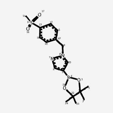 CC1(C)OB(c2cnn(Cc3ccc(S(C)(=O)=O)cc3)c2)OC1(C)C